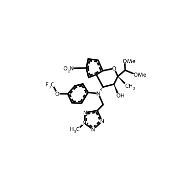 COC(OC)[C@@]1(C)Oc2ccc([N+](=O)[O-])cc2[C@@H](N(Cc2nnn(C)n2)c2ccc(OC(F)(F)F)cc2)[C@@H]1O